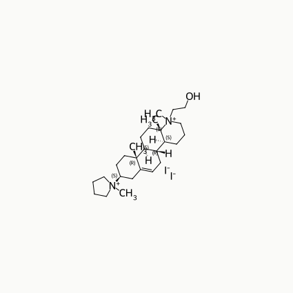 C[C@]12CC[C@H]([N+]3(C)CCCC3)CC1=CC[C@@H]1[C@@H]2CC[C@@]2(C)[C@H]1CCC[N+]2(C)CCO.[I-].[I-]